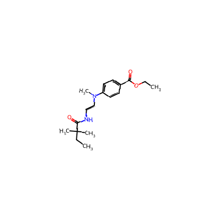 CCOC(=O)c1ccc(N(C)CCNC(=O)C(C)(C)CC)cc1